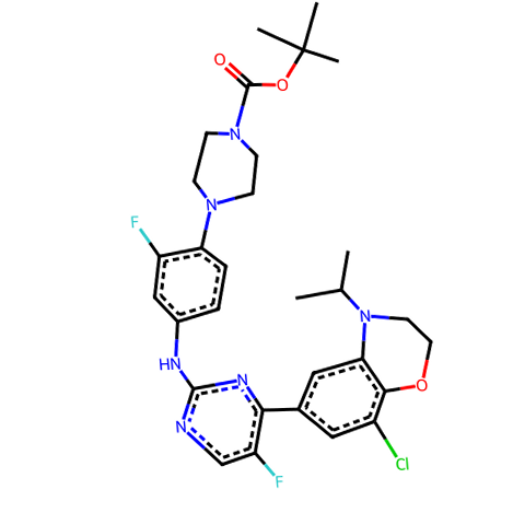 CC(C)N1CCOc2c(Cl)cc(-c3nc(Nc4ccc(N5CCN(C(=O)OC(C)(C)C)CC5)c(F)c4)ncc3F)cc21